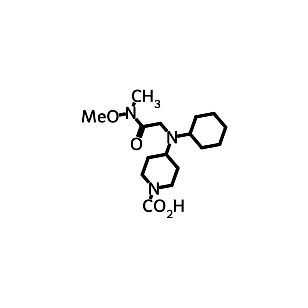 CON(C)C(=O)CN(C1CCCCC1)C1CCN(C(=O)O)CC1